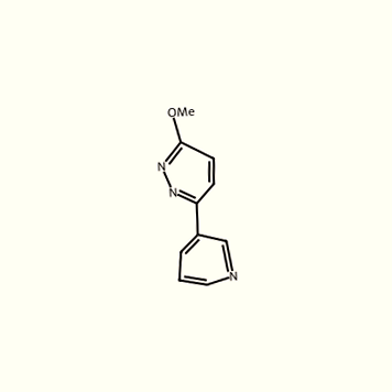 COc1ccc(-c2cccnc2)nn1